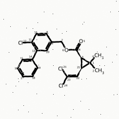 CC1(C)[C@H](C(=O)OCc2ccc(Cl)c(-c3ccccc3)c2)[C@@H]1C=C(Cl)Cl